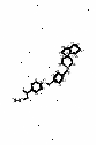 CC(CC=O)c1ccc(OCc2ccc(CN3CCC4(C=Cc5ccccc54)CC3)cc2)cc1